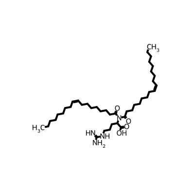 CCCCCCCC/C=C\CCCCCCCC(=O)N(C(=O)CCCCCCC/C=C\CCCCCCCC)C(CCCNC(=N)N)C(=O)O